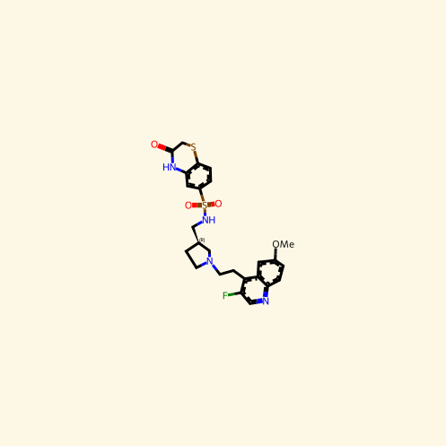 COc1ccc2ncc(F)c(CCN3CC[C@@H](CNS(=O)(=O)c4ccc5c(c4)NC(=O)CS5)C3)c2c1